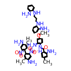 COc1ccc(NC(=O)c2ccc(C)cc2N)c(N)c1.Cc1cc(-c2cc(C)c(N)cc2[N+](=O)[O-])c([N+](=O)[O-])cc1N.Nc1ccccc1NCCCNc1ccccc1N